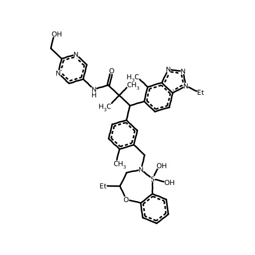 CCC1CN(Cc2cc(C(c3ccc4c(nnn4CC)c3C)C(C)(C)C(=O)Nc3cnc(CO)nc3)ccc2C)S(O)(O)c2ccccc2O1